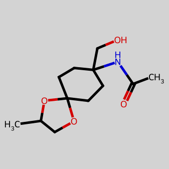 CC(=O)NC1(CO)CCC2(CC1)OCC(C)O2